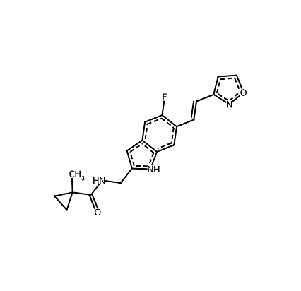 CC1(C(=O)NCc2cc3cc(F)c(/C=C/c4ccon4)cc3[nH]2)CC1